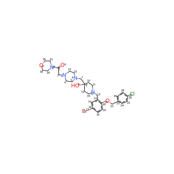 O=C(CN1CCN(CC2(O)CCN(Cc3cc(Br)ccc3OCc3ccc(Cl)cc3)CC2)CC1)N1CCOCC1